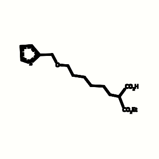 CCOC(=O)C(CCCCCCOCc1cccs1)C(=O)O